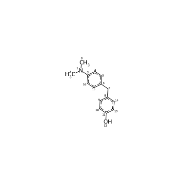 CN(C)c1ccc(Cc2ccc(O)cc2)cc1